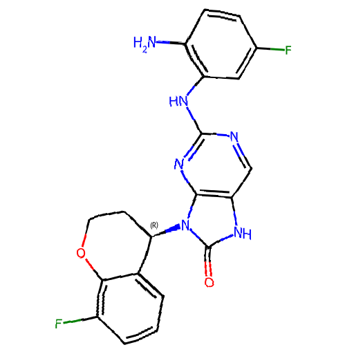 Nc1ccc(F)cc1Nc1ncc2[nH]c(=O)n([C@@H]3CCOc4c(F)cccc43)c2n1